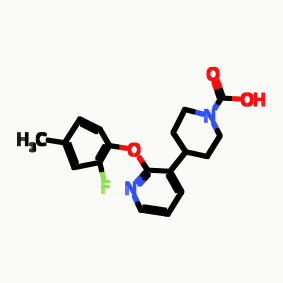 Cc1ccc(Oc2ncccc2C2CCN(C(=O)O)CC2)c(F)c1